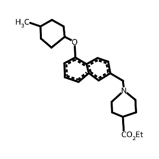 CCOC(=O)C1CCN(Cc2ccc3c(OC4CCC(C)CC4)cccc3c2)CC1